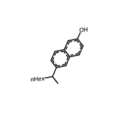 CCCCCCC(C)c1ccc2cc(O)ccc2c1